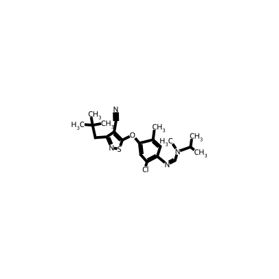 Cc1cc(/N=C\N(C)C(C)C)c(Cl)cc1Oc1snc(CC(C)(C)C)c1C#N